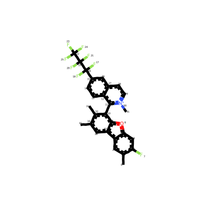 Cc1cc2c(cc1F)oc1c(-c3c4ccc(C(F)(F)C(F)(F)C(F)(F)F)cc4cc[n+]3C)c(C)c(C)cc12